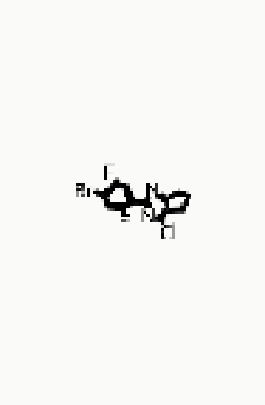 Fc1cc(-c2nc(Cl)c3c(n2)CCC3)c(F)cc1Br